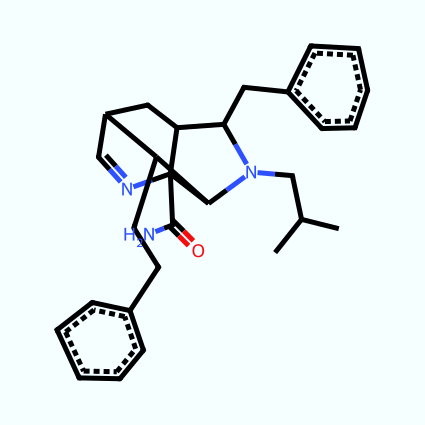 CC(C)CN1C(Cc2ccccc2)C2CC3C=NC2(C(N)=O)C1C3CCc1ccccc1